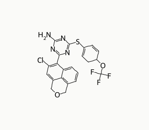 Nc1nc(SC2=CCC(OC(F)(F)F)C=C2)nc(-c2c(Cl)cc3c4c(cccc24)COC3)n1